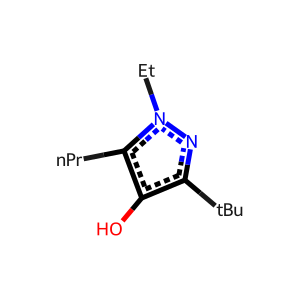 CCCc1c(O)c(C(C)(C)C)nn1CC